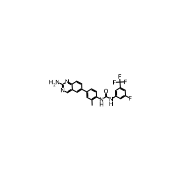 Cc1cc(-c2ccc3nc(N)ncc3c2)ccc1NC(=O)Nc1cc(F)cc(C(F)(F)F)c1